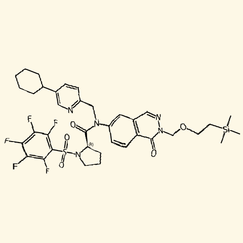 C[Si](C)(C)CCOCn1ncc2cc(N(Cc3ccc(C4CCCCC4)cn3)C(=O)[C@H]3CCCN3S(=O)(=O)c3c(F)c(F)c(F)c(F)c3F)ccc2c1=O